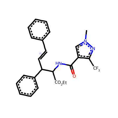 CCOC(=O)C(NC(=O)c1cn(C)nc1C(F)(F)F)C(/C=C/c1ccccc1)c1ccccc1